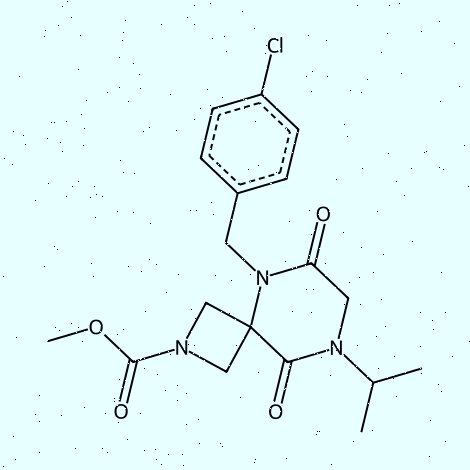 COC(=O)N1CC2(C1)C(=O)N(C(C)C)CC(=O)N2Cc1ccc(Cl)cc1